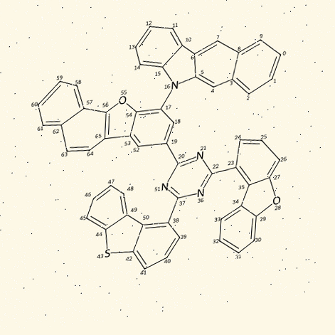 c1ccc2cc3c(cc2c1)c1ccccc1n3-c1cc(-c2nc(-c3cccc4oc5ccccc5c34)nc(-c3cccc4sc5ccccc5c34)n2)cc2c1oc1c3ccccc3ccc21